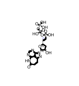 O=C1C=Cc2nn([C@@H]3O[C@H](/C=C/P(=O)(O)OP(=O)(O)OP(=O)(O)O)C[C@H]3O)c3ncnc(c23)N1